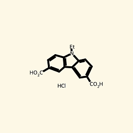 CCn1c2ccc(C(=O)O)cc2c2cc(C(=O)O)ccc21.Cl